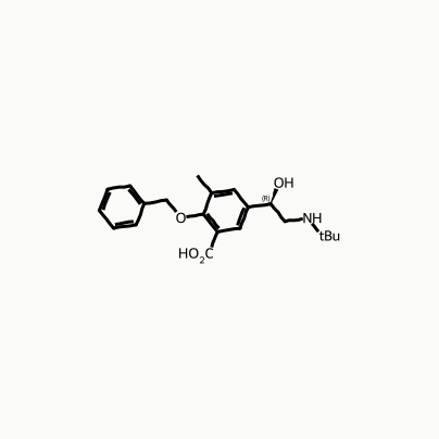 Cc1cc([C@@H](O)CNC(C)(C)C)cc(C(=O)O)c1OCc1ccccc1